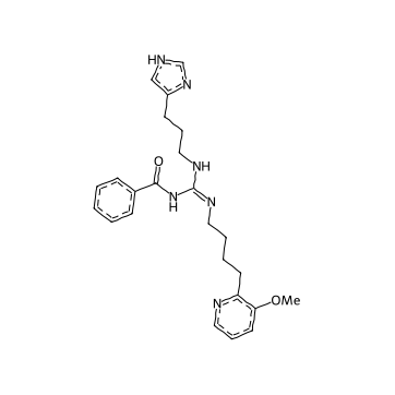 COc1cccnc1CCCCN=C(NCCCc1c[nH]cn1)NC(=O)c1ccccc1